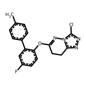 Cc1ccc(-c2cc(F)ccc2OC2=Nn3c(Cl)nnc3CC2)cc1